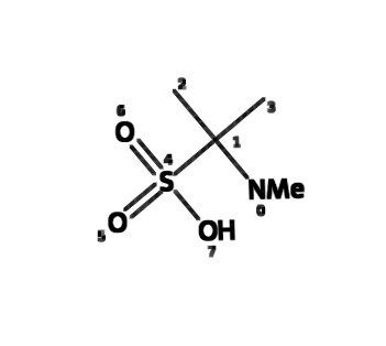 CNC(C)(C)S(=O)(=O)O